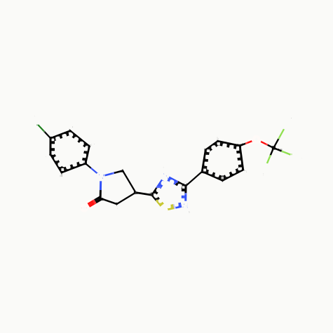 O=C1CC(c2nc(-c3ccc(OC(F)(F)F)cc3)ns2)CN1c1ccc(Cl)cc1